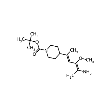 COC(/C=C(\C)C1CCN(C(=O)OC(C)(C)C)CC1)=C(/C)N